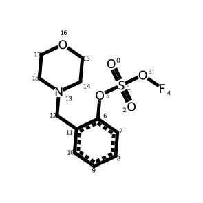 O=S(=O)(OF)Oc1ccccc1CN1CCOCC1